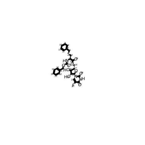 O=C(N[C@@H](CSCc1ccccc1)C(=O)OC[C@@H]1O[C@H](n2cc(F)c(=O)[nH]c2=O)C(O)C1O)OCc1ccccc1